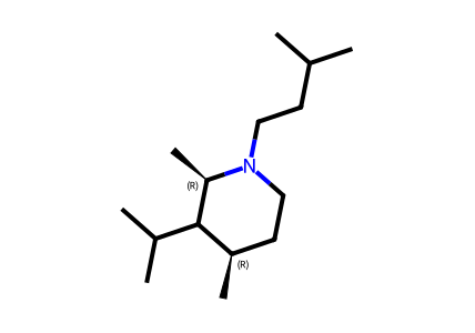 CC(C)CCN1CC[C@@H](C)C(C(C)C)[C@H]1C